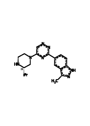 Cc1n[nH]c2ccc(-c3nncc(N4CCN[C@@H](C(C)C)C4)n3)cc12